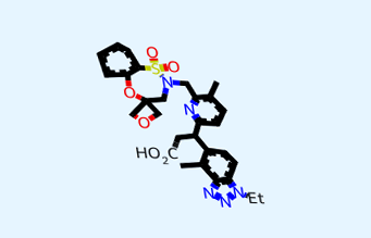 CCn1nnc2c(C)c(C(CC(=O)O)c3ccc(C)c(CN4CC5(COC5)Oc5ccccc5S4(=O)=O)n3)ccc21